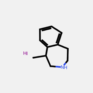 CC1CNCCc2ccccc21.I